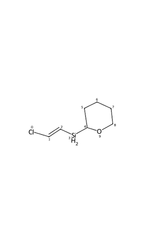 ClC=C[SiH2]C1CCCCO1